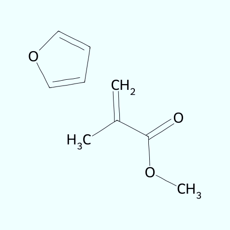 C=C(C)C(=O)OC.c1ccoc1